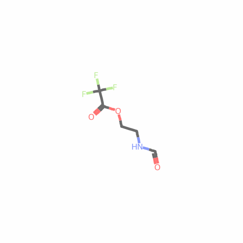 O=CNCCOC(=O)C(F)(F)F